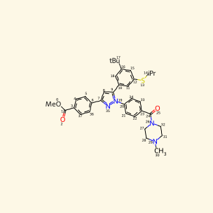 COC(=O)c1ccc(-c2cc(-c3cc(SC(C)C)cc(C(C)(C)C)c3)n(-c3ccc(C(=O)N4CCN(C)CC4)cc3)n2)cc1